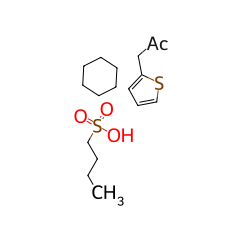 C1CCCCC1.CC(=O)Cc1cccs1.CCCCS(=O)(=O)O